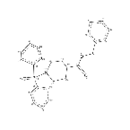 O=C(OCc1ccccc1)C1CCN(P(=O)(c2ccccc2)c2ccccc2)CC1